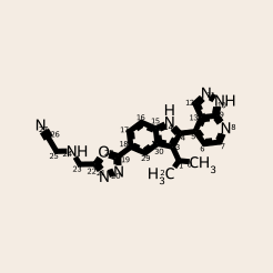 CC(C)c1c(-c2ccnc3[nH]ncc23)[nH]c2ccc(-c3nnc(CNCC#N)o3)cc12